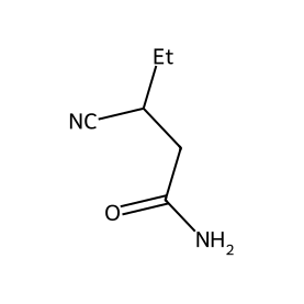 CCC(C#N)CC(N)=O